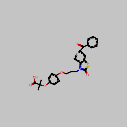 CC(C)(Oc1ccc(OCCCn2c(=O)sc3cc(C(=O)c4ccccc4)ccc32)cc1)C(=O)O